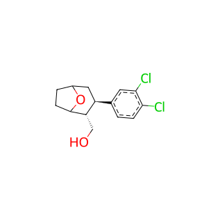 OC[C@@H]1C2CCC(C[C@H]1c1ccc(Cl)c(Cl)c1)O2